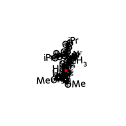 COc1ccc(C(NC2C=CN([C@@H]3O[C@@](CCP(=O)(OCOC(=O)OC(C)C)OCOC(=O)OC(C)C)(CN=[N+]=[N-])[C@@H](C)[C@H]3F)C(=O)N2)(c2ccccc2)c2ccc(OC)cc2)cc1